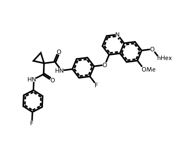 CCCCCCOc1cc2nccc(Oc3ccc(NC(=O)C4(C(=O)Nc5ccc(F)cc5)CC4)cc3F)c2cc1OC